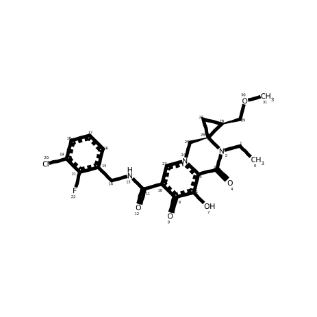 CCN1C(=O)c2c(O)c(=O)c(C(=O)NCc3cccc(Cl)c3F)cn2C[C@]12C[C@H]2COC